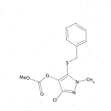 COC(=O)Oc1c(Cl)nn(C)c1SCc1ccccc1